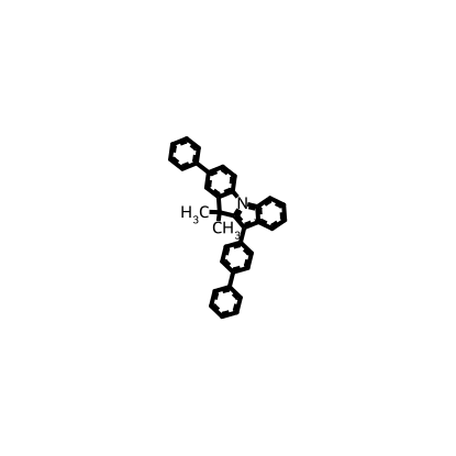 CC1(C)c2cc(-c3ccccc3)ccc2-n2c1c(-c1ccc(-c3ccccc3)cc1)c1ccccc12